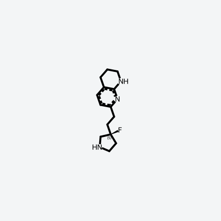 F[C@@]1(CCc2ccc3c(n2)NCCC3)CCNC1